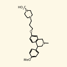 COc1ccc(C2CN(C)Cc3cc(OCCCN4CCN(C(=O)O)CC4)ccc32)cc1